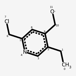 CCc1cnc(CCl)cc1C[O]